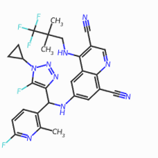 Cc1nc(F)ccc1C(Nc1cc(C#N)c2ncc(C#N)c(NCC(C)(C)C(F)(F)F)c2c1)c1nnn(C2CC2)c1F